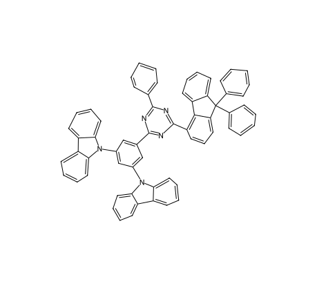 c1ccc(-c2nc(-c3cc(-n4c5ccccc5c5ccccc54)cc(-n4c5ccccc5c5ccccc54)c3)nc(-c3cccc4c3-c3ccccc3C4(c3ccccc3)c3ccccc3)n2)cc1